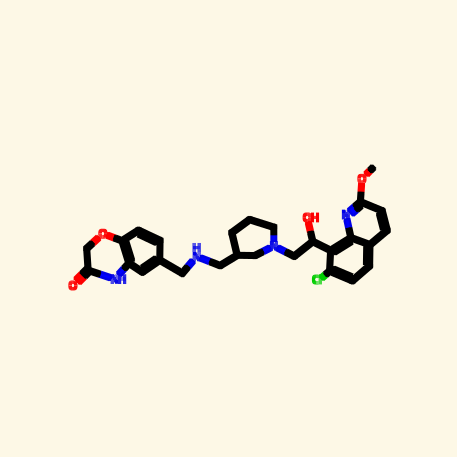 COc1ccc2ccc(Cl)c(C(O)CN3CCCC(CNCc4ccc5c(c4)NC(=O)CO5)C3)c2n1